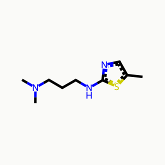 Cc1cnc(NCCCN(C)C)s1